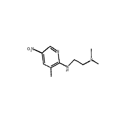 Cc1cc([N+](=O)[O-])cnc1NCCN(C)C